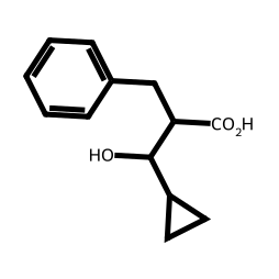 O=C(O)C(Cc1ccccc1)C(O)C1CC1